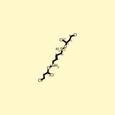 ClCCC(Cl)O[SiH2]CC=CC[SiH2]OC(Cl)CCCl